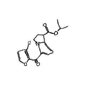 CC(C)OC(=O)C1CCn2c(C(=O)c3occc3Cl)ccc21